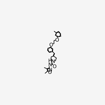 Cc1cccc(OCCOc2cccc(C=C3CCN(C(=O)Nc4noc(C)c4C)CC3)c2)c1